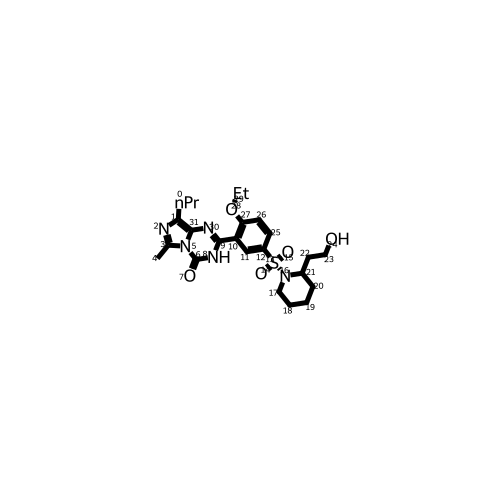 CCCc1nc(C)n2c(=O)[nH]c(-c3cc(S(=O)(=O)N4CCCCC4CCO)ccc3OCC)nc12